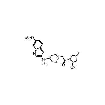 COc1ccc2cc(N(C)C3CCN(CC(=O)N4C[C@@H](F)CC4C#N)CC3)cnc2c1